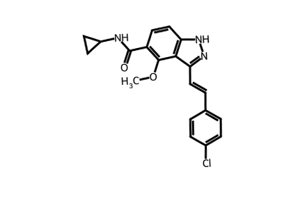 COc1c(C(=O)NC2CC2)ccc2[nH]nc(C=Cc3ccc(Cl)cc3)c12